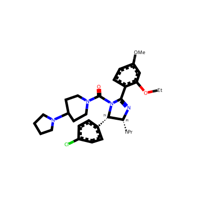 CCC[C@H]1N=C(c2ccc(OC)cc2OCC)N(C(=O)N2CCC(N3CCCC3)CC2)[C@H]1c1ccc(Cl)cc1